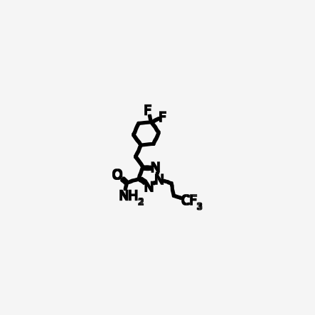 NC(=O)c1nn(CCC(F)(F)F)nc1CC1CCC(F)(F)CC1